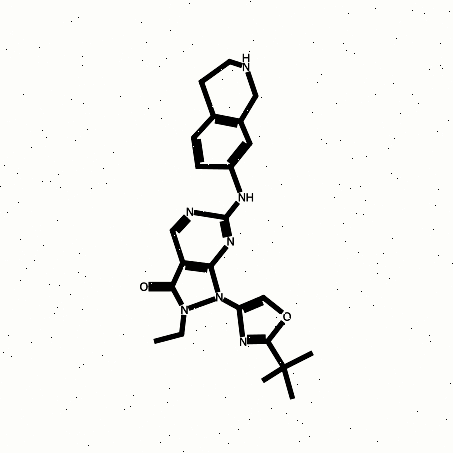 CCn1c(=O)c2cnc(Nc3ccc4c(c3)CNCC4)nc2n1-c1coc(C(C)(C)C)n1